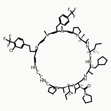 CC[C@H](C)[C@H]1C(C)NC2(CCCC2)CNCCNC=CC(CCc2ccc(C(F)(F)F)c(Cl)c2)=NC=CN(C)C=C(Cc2ccc(C(F)(F)F)cc2)N(C)C=C2CCCN2[C@@H](C)C(C)N[C@@H]([C@@H](C)CC)CN[C@@H](CC2CCCC2)C(C)NCC2[C@@H](C(=O)N3CCCC3)C(C)N21